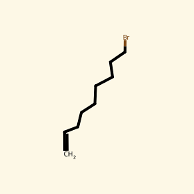 C=CCCCCCCCBr